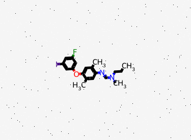 CCCN(C)/C=N/c1cc(C)c(Oc2cc(F)cc(I)c2)cc1C